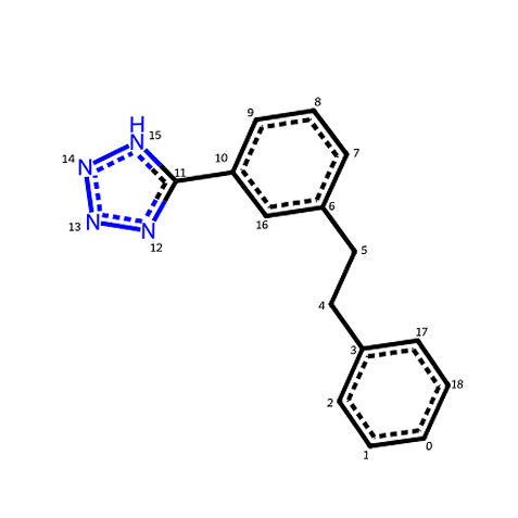 c1ccc(CCc2cccc(-c3nnn[nH]3)c2)cc1